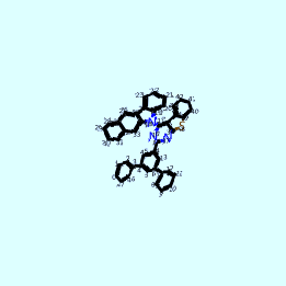 c1ccc(-c2cc(-c3ccccc3)cc(-c3nc(-n4c5ccccc5c5cc6ccccc6cc54)c4c(n3)sc3ccccc34)c2)cc1